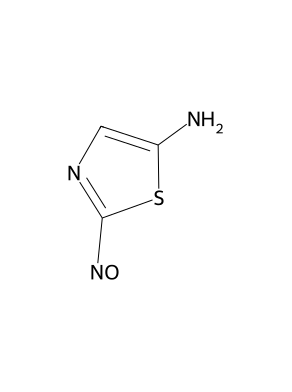 Nc1cnc(N=O)s1